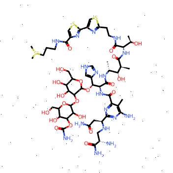 Cc1c(N)nc([C@H](CC(N)=O)NC[C@H](N)C(N)=O)nc1C(=O)N[C@H](C(=O)N[C@H](C)[C@@H](O)[C@H](C)C(=O)N[C@H](C(=O)NCCc1nc(-c2nc(C(=O)NCCC[S+](C)C)cs2)cs1)[C@@H](C)O)[C@@H](OC1OC(CO)C(O)C(O)C1OC1OC(CO)C(O)C(OC(N)=O)C1O)c1c[nH]cn1